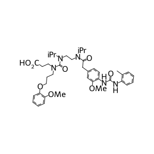 COc1cc(CC(=O)N(CCN(C(=O)N(CCCOc2ccccc2OC)CCC(=O)O)C(C)C)C(C)C)ccc1NC(=O)Nc1ccccc1C